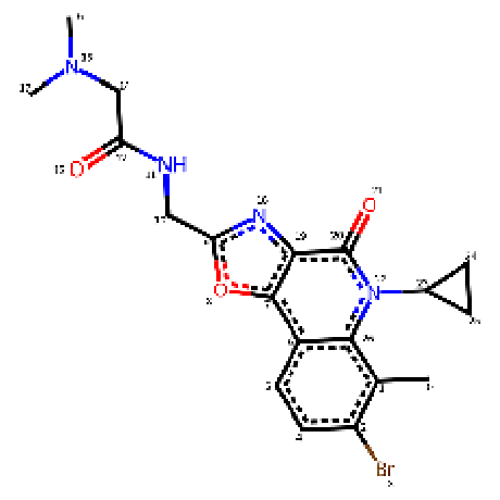 Cc1c(Br)ccc2c3oc(CNC(=O)CN(C)C)nc3c(=O)n(C3CC3)c12